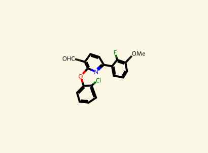 COc1cccc(-c2ccc(C=O)c(Oc3ccccc3Cl)n2)c1F